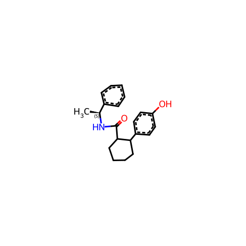 C[C@H](NC(=O)C1CCCCC1c1ccc(O)cc1)c1ccccc1